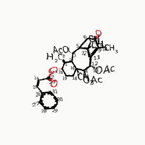 C=C1C2[C@H](OC(C)=O)C3CC(=O)C(C)=C([C@@H](OC(C)=O)C(OC(C)=O)C2(C)CC[C@@H]1OC(=O)/C=C\c1ccccc1)C3(C)C